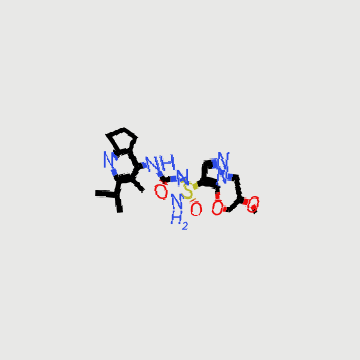 COC1COc2c(S(N)(=O)=NC(=O)Nc3c(C)c(C(C)C)nc4c3CCC4)cnn2C1